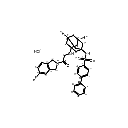 Cl.O=C(CNC12C[C@H]3C[C@@H](C1)CC(NS(=O)(=O)c1ccc(-c4ccccc4)cc1)(C3)C2)N1Cc2ccc(F)cc2C1